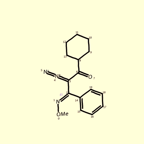 CO/N=C(/C(=[N+]=[N-])C(=O)C1CCCCC1)c1ccccc1